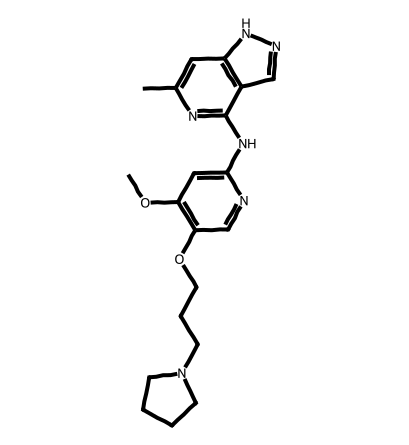 COc1cc(Nc2nc(C)cc3[nH]ncc23)ncc1OCCCN1CCCC1